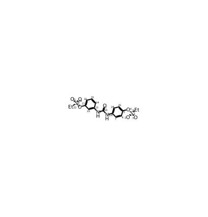 CCS(=O)(=O)Oc1ccc(NC(=O)Nc2cccc(OS(=O)(=O)CC)c2)cc1